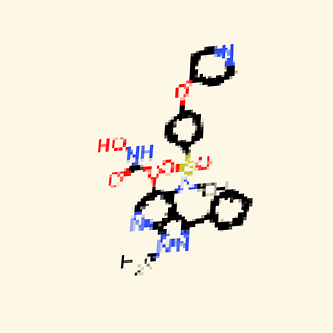 CN(c1c(OC(=O)NO)cnc2c1c(-c1ccccc1)nn2C)S(=O)(=O)c1ccc(Oc2ccncc2)cc1